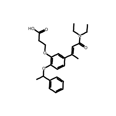 CCN(CC)C(=O)C=C(C)c1ccc(OC(C)c2ccccc2)c(OCCC(=O)O)c1